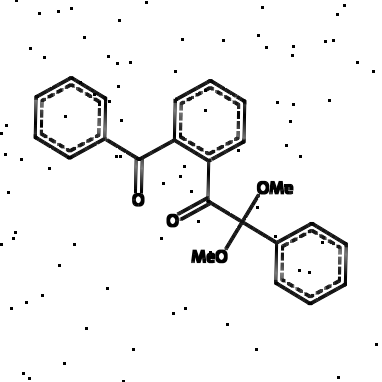 COC(OC)(C(=O)c1ccccc1C(=O)c1ccccc1)c1ccccc1